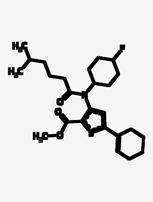 COC(=O)c1sc(C2=CCCCC2)cc1N(C(=O)CCCC(C)C)C1CCC(F)CC1